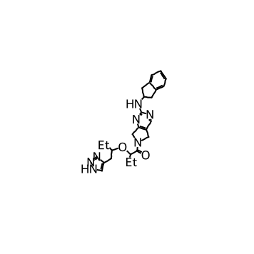 CCC(Cc1c[nH]nn1)OC(CC)C(=O)N1Cc2cnc(NC3Cc4ccccc4C3)nc2C1